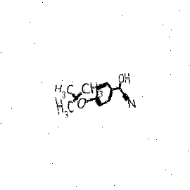 CC(C)(C)Oc1ccc(C(O)C#N)cc1